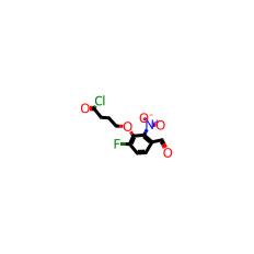 O=Cc1ccc(F)c(OCCCC(=O)Cl)c1[N+](=O)[O-]